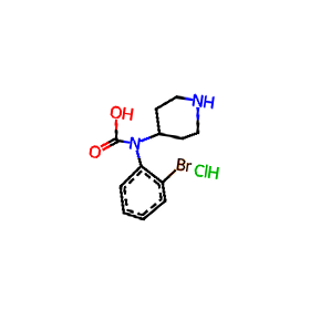 Cl.O=C(O)N(c1ccccc1Br)C1CCNCC1